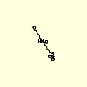 COCCCCCCNC(=O)CCCCCSS(C)(=O)=O